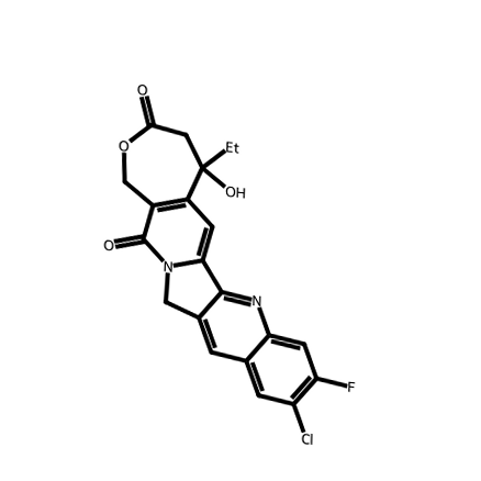 CCC1(O)CC(=O)OCc2c1cc1n(c2=O)Cc2cc3cc(Cl)c(F)cc3nc2-1